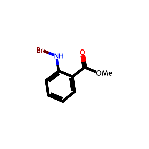 COC(=O)c1ccccc1NBr